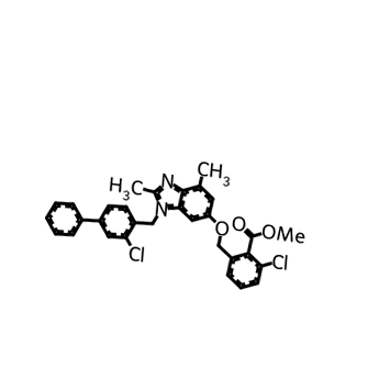 COC(=O)c1c(Cl)cccc1COc1cc(C)c2nc(C)n(Cc3ccc(-c4ccccc4)cc3Cl)c2c1